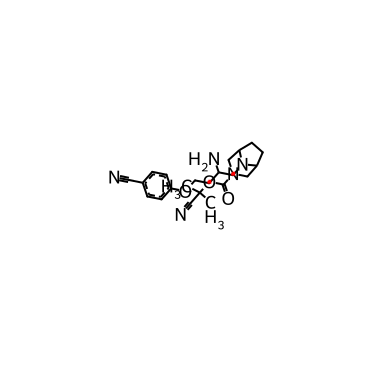 CC(C)(C#N)OC(=O)N1CC2CCC(C1)N2CC(N)CCOc1ccc(C#N)cc1